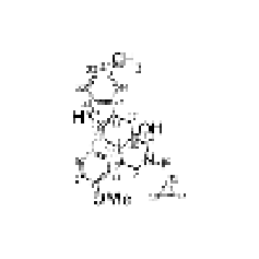 COc1cccc([C@@]23CCN(CC4CC4)C[C@@]2(O)Cc2c([nH]c4ccc(C)cc24)C3)c1